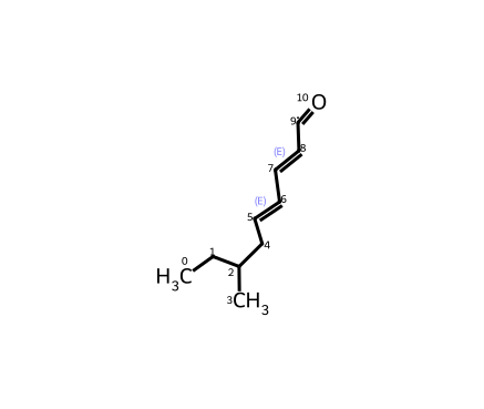 CCC(C)C/C=C/C=C/[C]=O